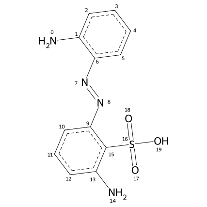 Nc1ccccc1/N=N/c1cccc(N)c1S(=O)(=O)O